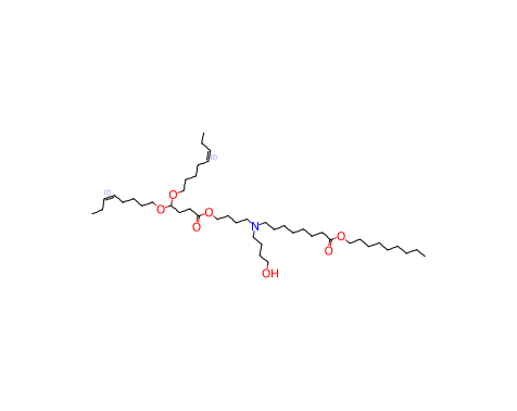 CC/C=C\CCCCOC(CCC(=O)OCCCCN(CCCCO)CCCCCCCC(=O)OCCCCCCCCC)OCCCC/C=C\CC